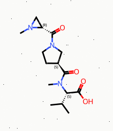 CC(C)[C@@H](C(=O)O)N(C)C(=O)[C@H]1CCN(C(=O)[C@H]2CN2C)C1